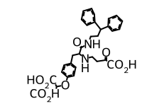 O=C(O)C(=O)CCNC(Cc1ccc(OC(C(=O)O)C(=O)O)cc1)C(=O)NCCC(c1ccccc1)c1ccccc1